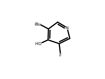 CCC(C)c1cncc(F)c1O